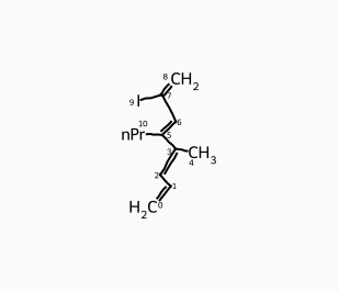 C=C/C=C(C)/C(=C/C(=C)I)CCC